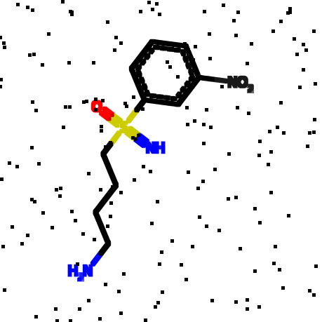 N=S(=O)(CCCCN)c1cccc([N+](=O)[O-])c1